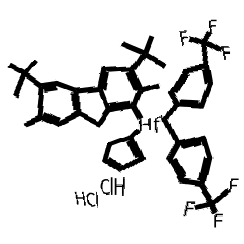 Cc1cc2c(cc1C(C)(C)C)-c1cc(C(C)(C)C)c(C)[c]([Hf]([C]3=CC=CC3)=[C](c3ccc(C(F)(F)F)cc3)c3ccc(C(F)(F)F)cc3)c1C2.Cl.Cl